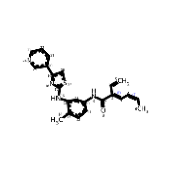 C=C/C(=C\C=C/C)C(=O)Nc1ccc(C)c(Nc2nc(-c3cccnc3)cs2)c1